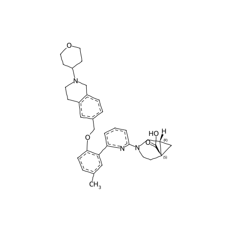 Cc1ccc(OCc2ccc3c(c2)CCN(C2CCOCC2)C3)c(-c2cccc(N3CC[C@@]4(C(=O)O)C[C@H]4C3)n2)c1